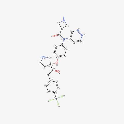 O=C(C1CNC1)N(c1ccc(O[C@]2(C(=O)Cc3ccc(C(F)(F)F)cc3)CCNC2)cc1)c1ccnnc1